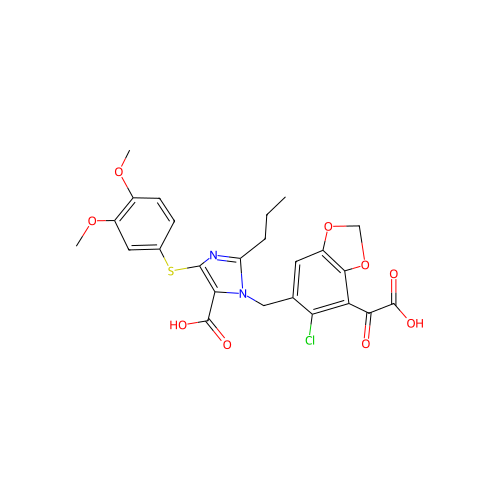 CCCc1nc(Sc2ccc(OC)c(OC)c2)c(C(=O)O)n1Cc1cc2c(c(C(=O)C(=O)O)c1Cl)OCO2